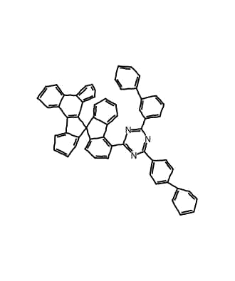 c1ccc(-c2ccc(-c3nc(-c4cccc(-c5ccccc5)c4)nc(-c4cccc5c4-c4ccccc4C54c5ccccc5-c5c4c4ccccc4c4ccccc54)n3)cc2)cc1